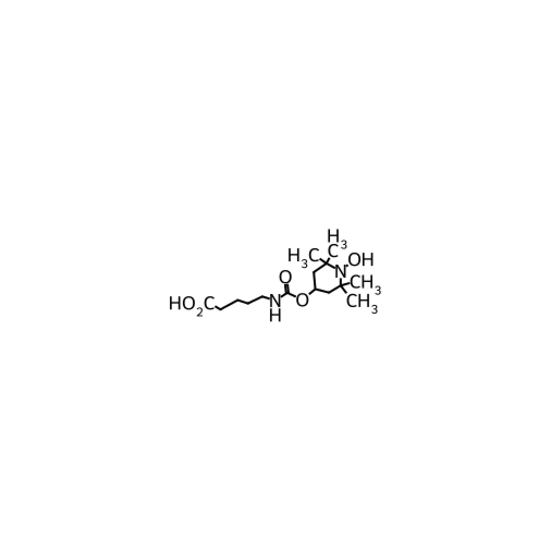 CC1(C)CC(OC(=O)NCCCCC(=O)O)CC(C)(C)N1O